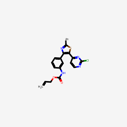 C=CCOC(=O)Nc1cccc(-c2nc(C(C)C)sc2-c2ccnc(Cl)n2)c1